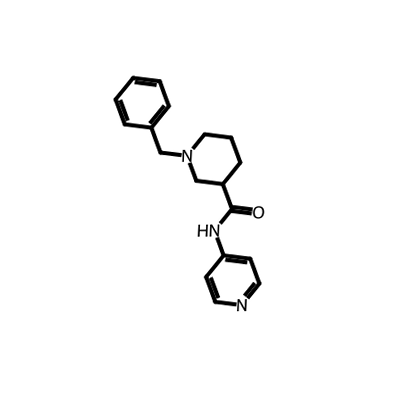 O=C(Nc1ccncc1)C1CCCN(Cc2ccccc2)C1